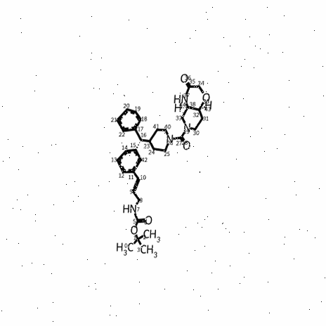 CC(C)(C)OC(=O)NC/C=C/c1cccc([C@H](c2ccccc2)C2CCN(C(=O)N3CC[C@@H]4OCC(=O)N[C@@H]4C3)CC2)c1